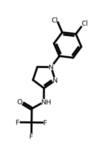 O=C(NC1=NN(c2ccc(Cl)c(Cl)c2)CC1)C(F)(F)F